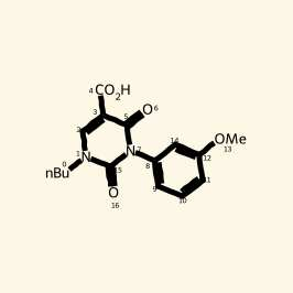 CCCCn1cc(C(=O)O)c(=O)n(-c2cccc(OC)c2)c1=O